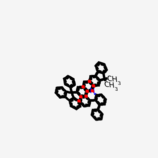 CC1(C)c2ccccc2-c2ccc(N(c3ccc(C4(c5ccccc5)c5ccccc5-c5ccccc54)cc3)c3cccc(-c4ccccc4)c3-c3ccccc3-c3ccccc3)cc21